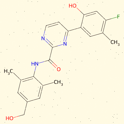 Cc1cc(-c2ccnc(C(=O)Nc3c(C)cc(CO)cc3C)n2)c(O)cc1F